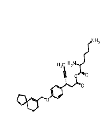 CC#C[C@H](CC(=O)OC(=O)[C@@H](N)CCCCN)c1ccc(OCC2=CC3(CCCC3)CCC2)cc1